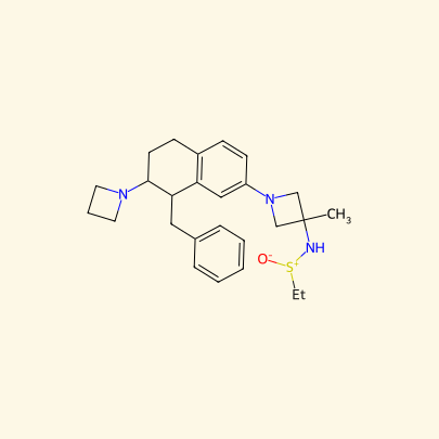 CC[S+]([O-])NC1(C)CN(c2ccc3c(c2)C(Cc2ccccc2)C(N2CCC2)CC3)C1